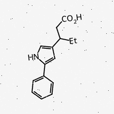 CCC(CC(=O)O)c1c[nH]c(-c2ccccc2)c1